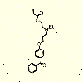 C=CC(=O)OCCN(CC)CCCOc1ccc(C(=O)c2ccccc2)cc1